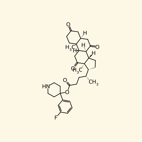 C[C@H](CCC(=O)OC1(c2cccc(F)c2)CCNCC1)[C@H]1CC[C@H]2[C@@H]3C(=O)C[C@@H]4CC(=O)CC[C@]4(C)[C@H]3CC(=O)[C@]12C